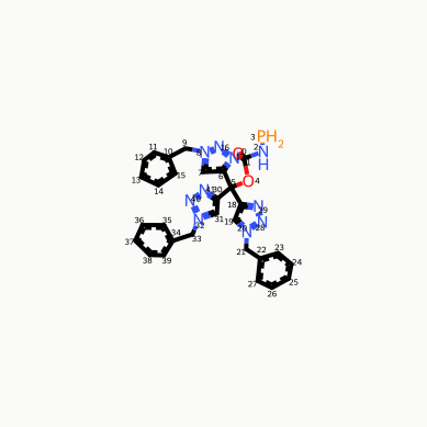 O=C(NP)OC(c1cn(Cc2ccccc2)nn1)(c1cn(Cc2ccccc2)nn1)c1cn(Cc2ccccc2)nn1